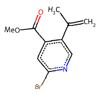 C=C(C)c1cnc(Br)cc1C(=O)OC